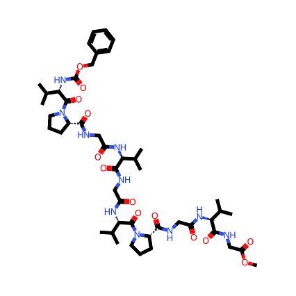 COC(=O)CNC(=O)[C@@H](NC(=O)CNC(=O)[C@@H]1CCCN1C(=O)[C@@H](NC(=O)CNC(=O)[C@@H](NC(=O)CNC(=O)[C@@H]1CCCN1C(=O)[C@@H](NC(=O)OCc1ccccc1)C(C)C)C(C)C)C(C)C)C(C)C